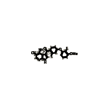 COc1cccc(Oc2ccc(C(=O)c3c[nH]c4ncc(Cl)c(N)c34)c(C)c2)c1F